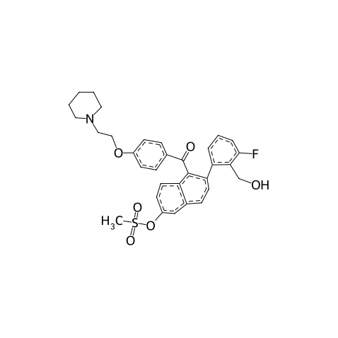 CS(=O)(=O)Oc1ccc2c(C(=O)c3ccc(OCCN4CCCCC4)cc3)c(-c3cccc(F)c3CO)ccc2c1